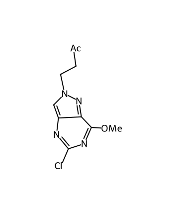 COc1nc(Cl)nc2cn(CCC(C)=O)nc12